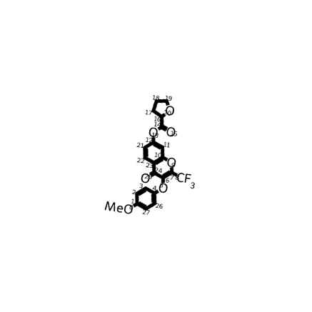 COc1ccc(Oc2c(C(F)(F)F)oc3cc(OC(=O)C4CCCO4)ccc3c2=O)cc1